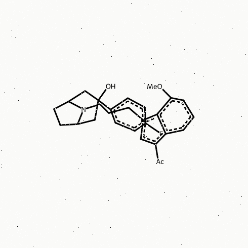 COc1cccc2c(C(C)=O)cn(CCCN3C4CCC3CC(O)(c3ccc(F)cc3)C4)c12